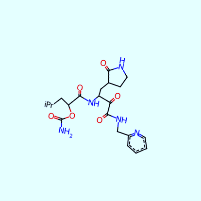 CC(C)CC(OC(N)=O)C(=O)NC(CC1CCNC1=O)C(=O)C(=O)NCc1ccccn1